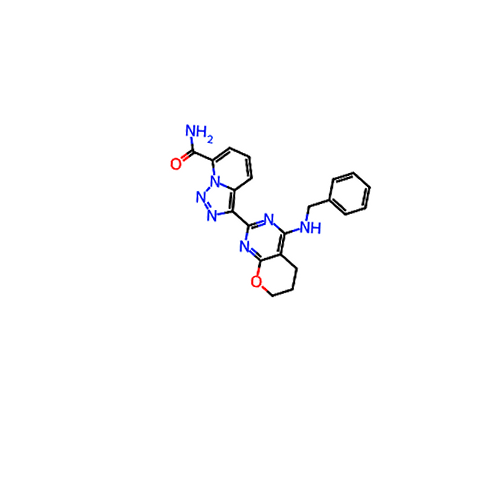 NC(=O)c1cccc2c(-c3nc(NCc4ccccc4)c4c(n3)OCCC4)nnn12